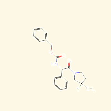 CC1(F)CCN(C(=O)[C@@H](NC(=O)OCc2ccccc2)c2ccccc2)C1